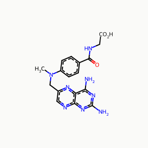 CN(Cc1cnc2nc(N)nc(N)c2n1)c1ccc(C(=O)NCC(=O)O)cc1